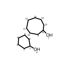 OC1CCCCC1.OC1CCCCCCC1